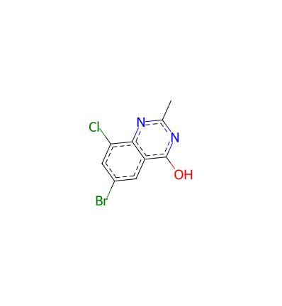 Cc1nc(O)c2cc(Br)cc(Cl)c2n1